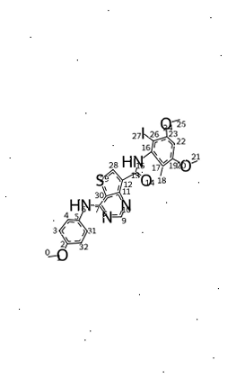 COc1ccc(Nc2ncnc3c(C(=O)Nc4c(C)c(OC)cc(OC)c4I)csc23)cc1